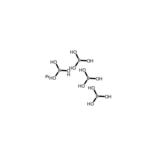 OB(O)O.OB(O)O.OB(O)O.OB(O)O.[Pr]